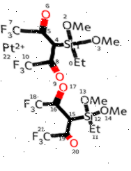 CC[Si](OC)(OC)C(C(=O)C(F)(F)F)C(=O)C(F)(F)F.CC[Si](OC)(OC)C(C(=O)C(F)(F)F)C(=O)C(F)(F)F.[Pt+2]